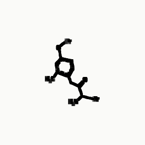 Cc1cc(OC(C)C)ccc1CC(=O)C(N)C(C)C